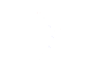 Cc1ccc(NC(=O)N2CCN(C(=O)OC(C)(C)C)CC2)c(C(=O)O)c1